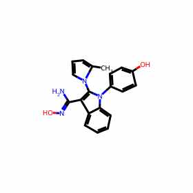 Cc1cccn1-c1c(C(N)=NO)c2ccccc2n1-c1ccc(O)cc1